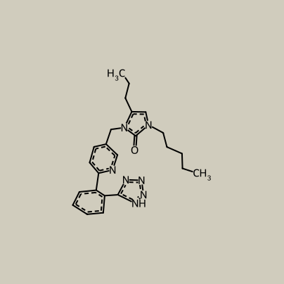 CCCCCn1cc(CCC)n(Cc2ccc(-c3ccccc3-c3nnn[nH]3)nc2)c1=O